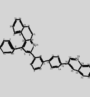 c1ccc(-c2cc(-c3cccc(-c4ccc(-c5cnc6ccccc6c5)cc4)c3)nc3ccc4ccccc4c23)cc1